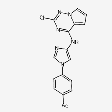 CC(=O)c1ccc(-n2cnc(Nc3nc(Cl)nn4cccc34)c2)cc1